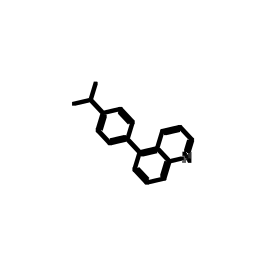 CC(C)c1ccc(-c2cccc3ncccc23)cc1